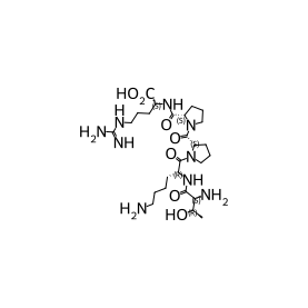 C[C@@H](O)[C@H](N)C(=O)N[C@H](CCCCN)C(=O)N1CCC[C@H]1C(=O)N1CCC[C@H]1C(=O)N[C@@H](CCCNC(=N)N)C(=O)O